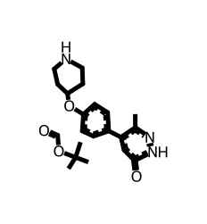 CC(C)(C)OC=O.Cc1n[nH]c(=O)cc1-c1ccc(OC2CCNCC2)cc1